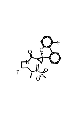 C[C@H](NS(C)(=O)=O)[C@@H]1[C@H](F)CN1C(=O)[C@@H]1C[C@@]1(F)c1ccccc1-c1c(F)cccc1F